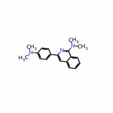 CN(C)c1ccc(-c2cc3ccccc3c(N(C)C)n2)cc1